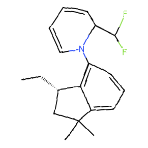 CC[C@H]1CC(C)(C)c2cccc(N3C=CC=CC3C(F)F)c21